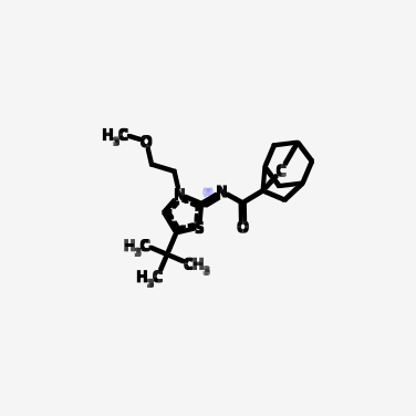 COCCn1cc(C(C)(C)C)s/c1=N\C(=O)C12CC3CC(CC1C3)C2